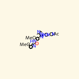 COc1cc(-c2nc(N3CCN(C4CCN(C(C)=O)CC4)CC3)n3ccnc(C)c23)ccc1NC(=O)c1cc2c(OC)cccc2n1C